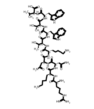 CC(C)[C@H](NC(=O)[C@H](Cc1c[nH]c2ccccc12)NC(=O)[C@@H](NC(=O)[C@H](Cc1c[nH]c2ccccc12)NC(=O)[C@@H](NC(=O)[C@H](CCCCN)NC(=O)[C@H](CC(N)=O)NC(=O)[C@H](CC(N)=O)NC(=O)[C@H](CCCCN)NC(=O)[C@@H](N)CCCNC(=N)N)[C@@H](C)O)[C@@H](C)O)C(=O)O